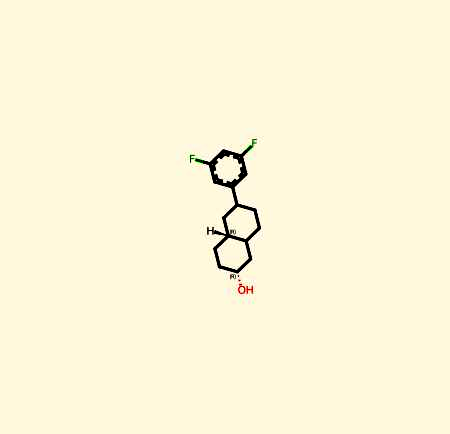 O[C@@H]1CC[C@@H]2CC(c3cc(F)cc(F)c3)CCC2C1